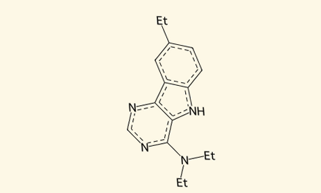 CCc1ccc2[nH]c3c(N(CC)CC)ncnc3c2c1